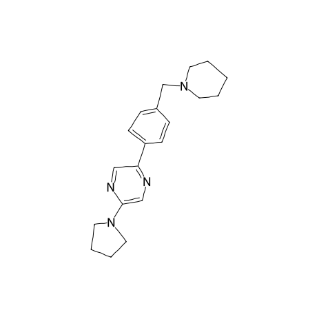 c1cc(-c2cnc(N3CCCC3)cn2)ccc1CN1CCCCC1